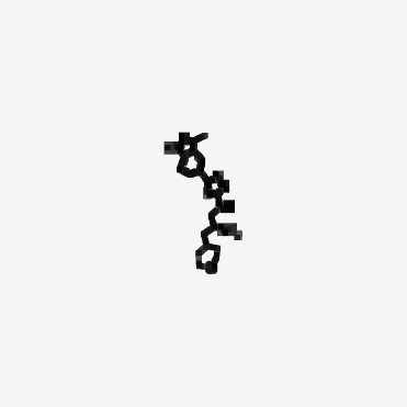 Cc1n[nH]c2ccc(-c3nnc(NCC(N)CC4CCOCC4)s3)cc12